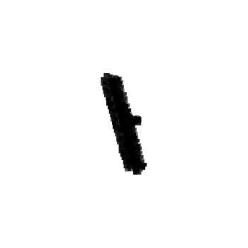 BrC(Br)(Br)C(Br)(Br)C(Br)(Br)C(Br)(Br)C(Br)(Br)C(Br)(Br)C(Br)(Br)C(Br)(Br)C(Br)(Br)C(Br)(Br)C(Br)(Br)C(Br)(Br)C(Br)(Br)C(Br)(Br)C(Br)(Br)C(Br)(Br)C(Br)(Br)C(Br)(Br)C(Br)(Br)C(Br)(Br)C(Br)(Br)C(Br)(Br)C(Br)(Br)Br.O=[SH](=O)O